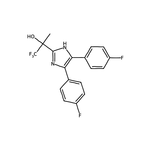 CC(O)(c1nc(-c2ccc(F)cc2)c(-c2ccc(F)cc2)[nH]1)C(F)(F)F